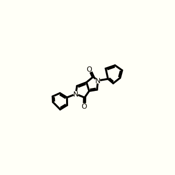 O=C1C2=CN(c3ccccc3)C(=O)C2=CN1c1ccccc1